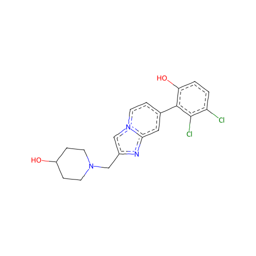 Oc1ccc(Cl)c(Cl)c1-c1ccn2cc(CN3CCC(O)CC3)nc2c1